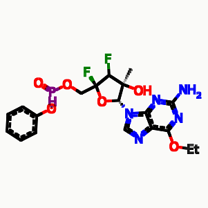 CCOc1nc(N)nc2c1ncn2[C@@H]1O[C@](F)(CO[PH](=O)Oc2ccccc2)C(F)[C@@]1(C)O